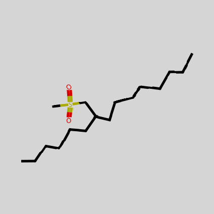 CCCCCCCCC(CCCCCC)CS(C)(=O)=O